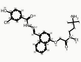 CCN(CCC(C)(C)N)C(=O)COc1ccc(/C=N/NC(=O)c2ccc(O)c(Cl)c2)c2ccccc12